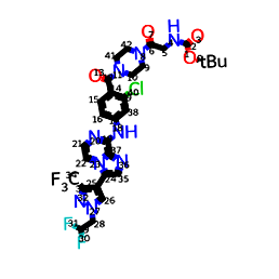 CC(C)(C)OC(=O)NCC(=O)N1CCN(C(=O)c2ccc(Nc3nccn4c(-c5cn(CC(F)F)nc5C(F)(F)F)cnc34)cc2Cl)CC1